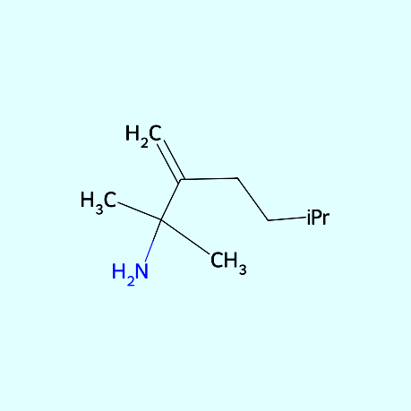 C=C(CCC(C)C)C(C)(C)N